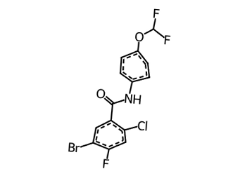 O=C(Nc1ccc(OC(F)F)cc1)c1cc(Br)c(F)cc1Cl